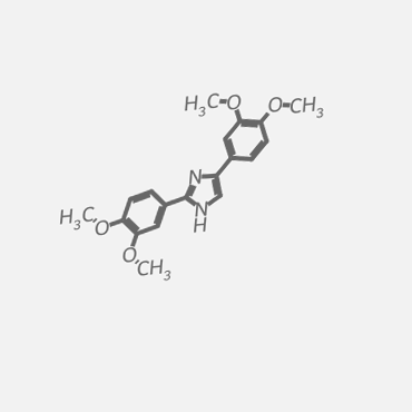 COc1ccc(-c2c[nH]c(-c3ccc(OC)c(OC)c3)n2)cc1OC